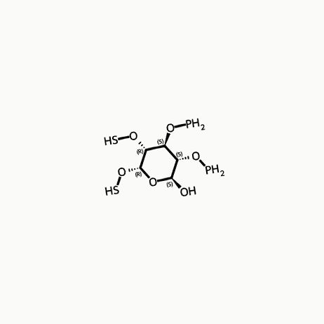 O[C@H]1O[C@H](OS)[C@H](OS)[C@@H](OP)[C@@H]1OP